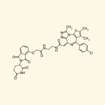 Cc1sc2c(c1C)C(c1ccc(Cl)cc1)=N/C(=C/C(=O)NCCNC(=O)COc1cccc3c1C(=O)N(C1CCC(=O)NC1=O)C3=O)c1nnc(C)n1-2